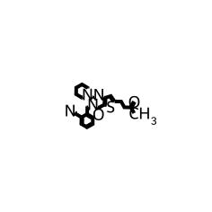 CC(=O)CCc1cc2nc(N3CCCCC3)n(Cc3ccccc3C#N)c(=O)c2s1